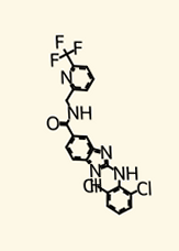 O=C(NCc1cccc(C(F)(F)F)n1)c1ccc2[nH]c(Nc3c(Cl)cccc3Cl)nc2c1